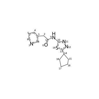 O=C(Cc1cccnc1)Nc1nnc(C2CCCC2)s1